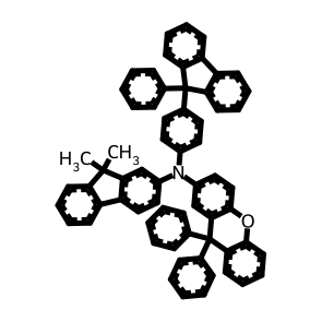 CC1(C)c2ccccc2-c2ccc(N(c3ccc(C4(c5ccccc5)c5ccccc5-c5ccccc54)cc3)c3ccc4c(c3)C(c3ccccc3)(c3ccccc3)c3ccccc3O4)cc21